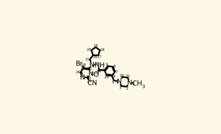 CN1CCN(Cc2cccc(C(=O)NN(CC3CCCC3)c3nc(C#N)ncc3Br)c2)CC1